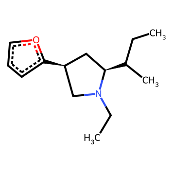 CCC(C)[C@@H]1C[C@H](c2ccco2)CN1CC